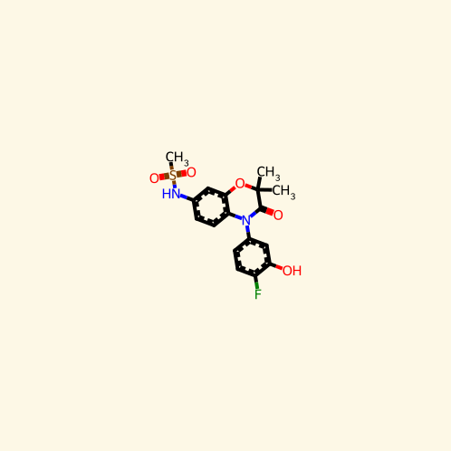 CC1(C)Oc2cc(NS(C)(=O)=O)ccc2N(c2ccc(F)c(O)c2)C1=O